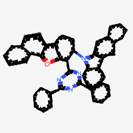 c1ccc(-c2nc(-c3ccccc3)nc(-c3c(-n4c5ccccc5c5cc6ccccc6cc54)ccc4c3oc3c5ccccc5ccc43)n2)cc1